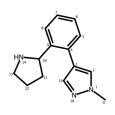 Cn1cc(-c2ccccc2C2CCCN2)cn1